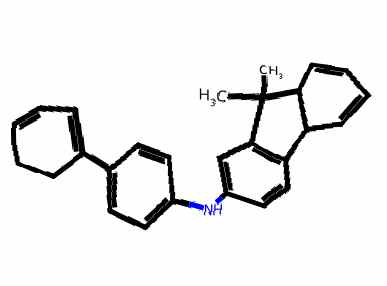 CC1(C)c2cc(Nc3ccc(C4=CC=CCC4)cc3)ccc2C2C=CC=CC21